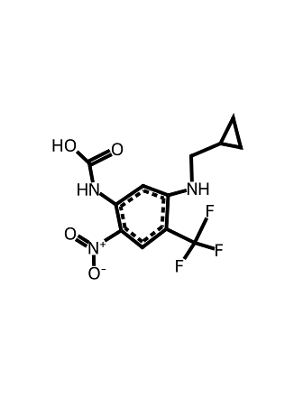 O=C(O)Nc1cc(NCC2CC2)c(C(F)(F)F)cc1[N+](=O)[O-]